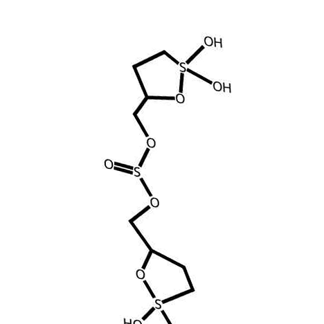 O=S(OCC1CCS(O)(O)O1)OCC1CCS(O)(O)O1